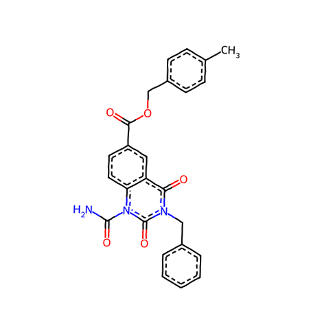 Cc1ccc(COC(=O)c2ccc3c(c2)c(=O)n(Cc2ccccc2)c(=O)n3C(N)=O)cc1